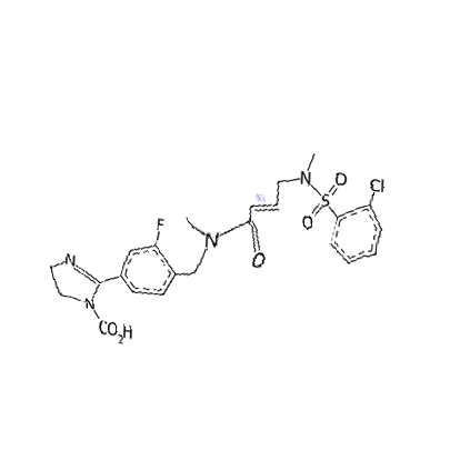 CN(Cc1ccc(C2=NCCN2C(=O)O)cc1F)C(=O)/C=C/CN(C)S(=O)(=O)c1ccccc1Cl